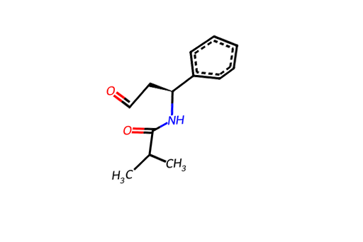 CC(C)C(=O)N[C@@H](CC=O)c1ccccc1